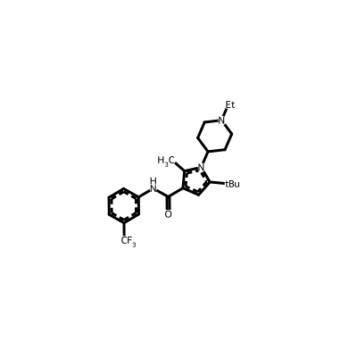 CCN1CCC(n2c(C(C)(C)C)cc(C(=O)Nc3cccc(C(F)(F)F)c3)c2C)CC1